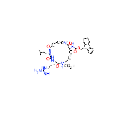 CC(C)=CC[C@@H]1NC(=O)CCCCN(C)C(=O)[C@@H](NC(=O)OCC2c3ccccc3-c3ccccc32)CCCC[C@@H](C(=O)O)NC(=O)[C@H](CCCNC(=N)N)NC1=O